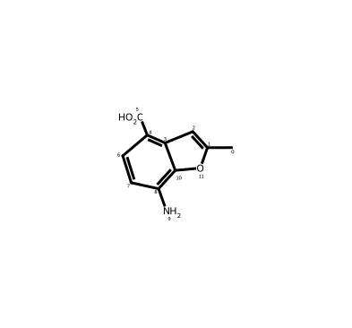 Cc1cc2c(C(=O)O)ccc(N)c2o1